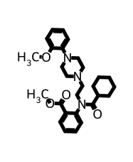 COC(=O)c1ccccc1N(CCN1CCN(c2ccccc2OC)CC1)C(=O)C1CCCCC1